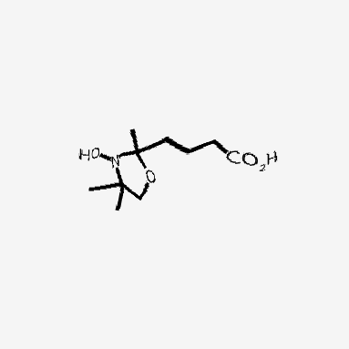 CC1(C)COC(C)(CCCC(=O)O)N1O